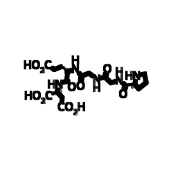 O=C(O)CC[C@H](NC(=O)CNC(=O)CNC(=O)[C@@H]1CCCN1)C(=O)N[C@@H](CC(=O)O)C(=O)O